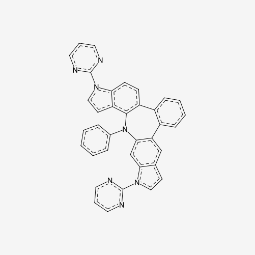 c1ccc(N2c3cc4c(ccn4-c4ncccn4)cc3-c3ccccc3-c3ccc4c(ccn4-c4ncccn4)c32)cc1